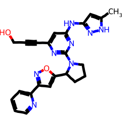 Cc1cc(Nc2cc(C#CCO)nc(N3CCCC3c3cc(-c4ccccn4)no3)n2)n[nH]1